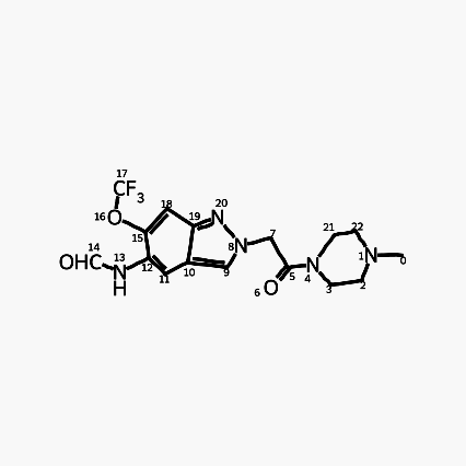 CN1CCN(C(=O)Cn2cc3cc(NC=O)c(OC(F)(F)F)cc3n2)CC1